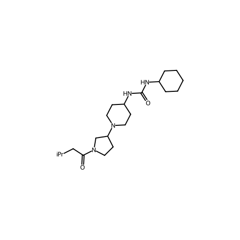 CC(C)CC(=O)N1CCC(N2CCC(NC(=O)NC3CCCCC3)CC2)C1